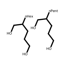 CCCCCC(CO)CCCO.CCCCCCC(CO)CCCO